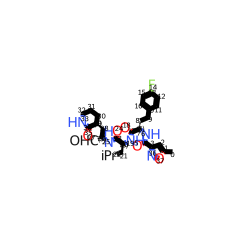 Cc1cc(C(=O)N[C@@H](CCc2ccc(F)cc2)C(=O)N[C@@H](CC(C)C)C(=O)N[C@H](C=O)C[C@@H]2CCCNC2=O)no1